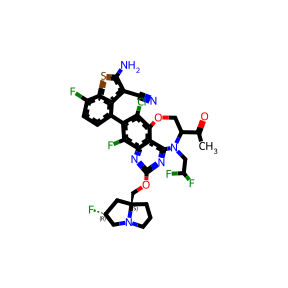 CC(=O)C1COc2c(Cl)c(-c3ccc(F)c4sc(N)c(C#N)c34)c(F)c3nc(OC[C@@]45CCCN4C[C@H](F)C5)nc(c23)N1CC(F)F